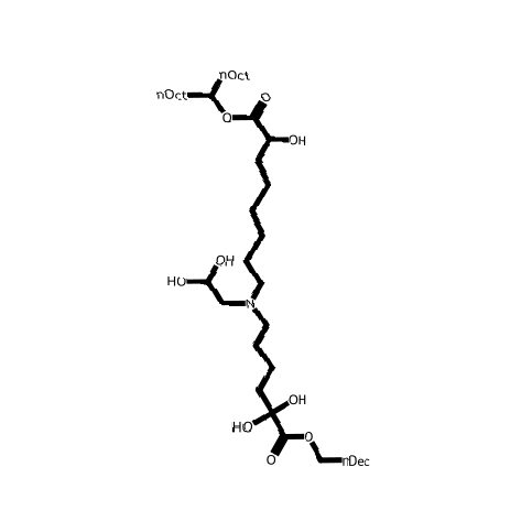 CCCCCCCCCCCOC(=O)C(O)(O)CCCCN(CCCCCCC(O)C(=O)OC(CCCCCCCC)CCCCCCCC)CC(O)O